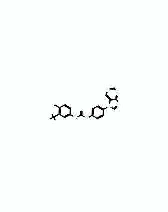 O=C(Nc1ccc(-n2cnc3ncncc32)cc1)Nc1ccc(Cl)c(C(F)(F)F)c1